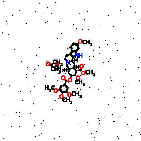 C=O.CC(C)=O.COC(=O)[C@H]1[C@H]2C[C@@H]3c4[nH]c5cc(OC)ccc5c4CCN3C[C@H]2C[C@@H](OC(=O)c2cc(OC)c(OC)c(OC)c2)[C@@H]1OC